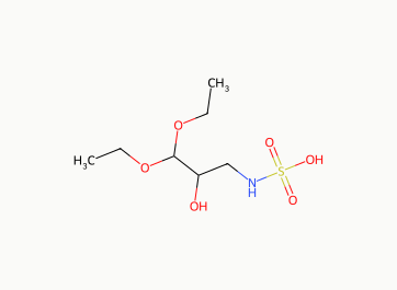 CCOC(OCC)C(O)CNS(=O)(=O)O